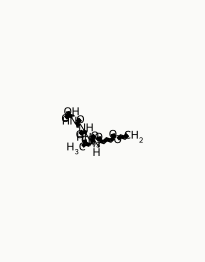 C=CCOC(=O)CCCC(=O)N[C@@H](CC(C)C)C(=O)NCC(=O)NCC(=O)NCC(=O)O